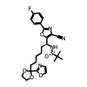 CC(C)(C)[S@@+]([O-])N[C@@H](CCCCCC1(c2ncco2)OCCO1)c1oc(-c2ccc(F)cc2)nc1C#N